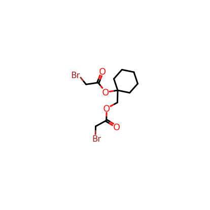 O=C(CBr)OCC1(OC(=O)CBr)CCCCC1